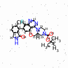 Cc1ccc2c(c1-c1cc3c4c(ncnc4c1F)N1CCN(C(=O)OC(C)(C)C)C[C@H]1CO3)C(=O)NC2